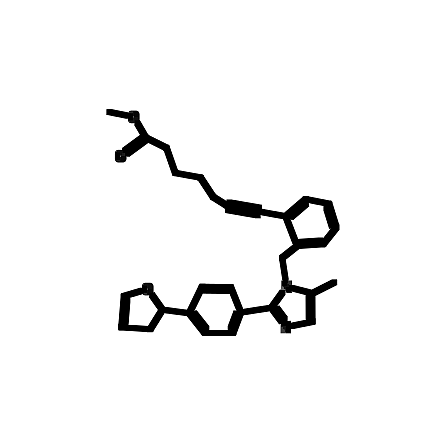 COC(=O)CCCCC#Cc1ccccc1Cn1c(C)cnc1-c1ccc(C2CC=CO2)cc1